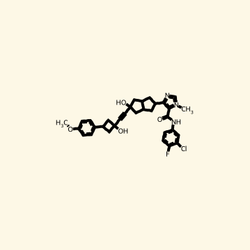 COc1ccc(C2CC(O)(C#CC3(O)CC4CC(c5ncn(C)c5C(=O)Nc5ccc(F)c(Cl)c5)CC4C3)C2)cc1